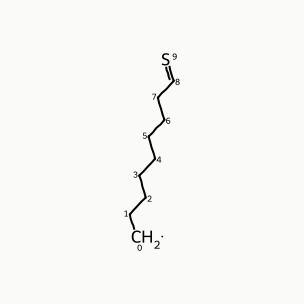 [CH2]CCCCCCCC=S